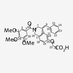 COc1cc(C(=O)N(CC=Cc2ccccc2)Cc2ccc(OCC(=O)O)cc2)cc(OC)c1OC